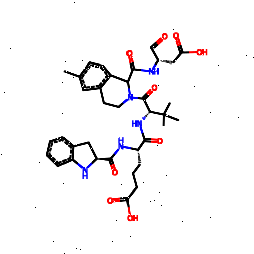 Cc1ccc2c(c1)CCN(C(=O)[C@@H](NC(=O)[C@H](CCCC(=O)O)NC(=O)[C@@H]1Cc3ccccc3N1)C(C)(C)C)C2C(=O)N[C@H](C=O)CC(=O)O